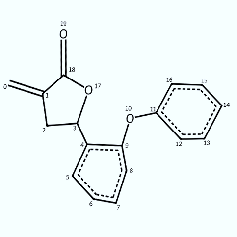 C=C1CC(c2ccccc2Oc2ccccc2)OC1=O